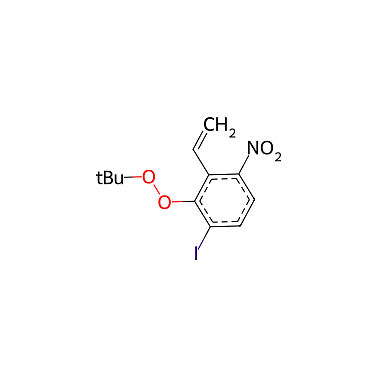 C=Cc1c([N+](=O)[O-])ccc(I)c1OOC(C)(C)C